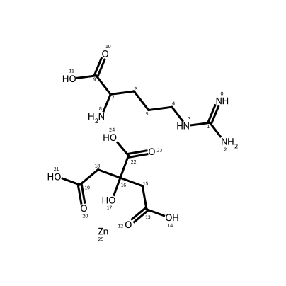 N=C(N)NCCCC(N)C(=O)O.O=C(O)CC(O)(CC(=O)O)C(=O)O.[Zn]